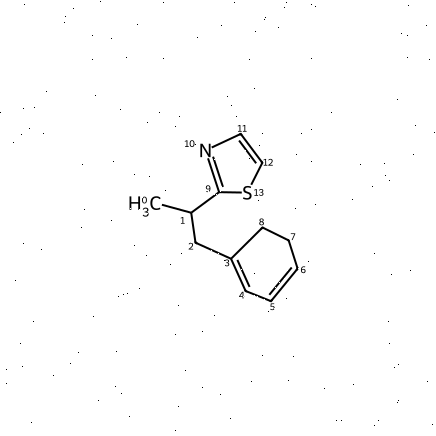 CC(CC1=CC=CCC1)c1nccs1